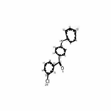 O=C(c1ccc(Sc2cc[c]cc2)cc1)c1cccc(Cl)c1